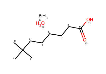 CC(C)(C)CCCCCC(=O)O.O.[BiH3]